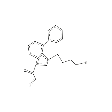 O=CC(=O)c1cn(CCCCBr)c2c(-c3ccccc3)cccc12